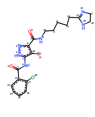 O=C(Nc1[nH]nc(C(=O)NCCCCCC2=NCCN2)c1Br)c1ccccc1Cl